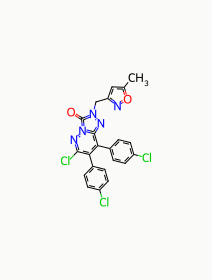 Cc1cc(Cn2nc3c(-c4ccc(Cl)cc4)c(-c4ccc(Cl)cc4)c(Cl)nn3c2=O)no1